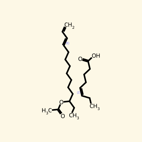 C=C/C=C/CCCCCCCC(CC)OC(C)=O.CC/C=C\CCCC(=O)O